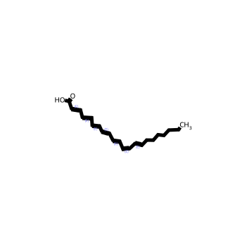 CCCCCCC/C=C/C=C\C=C\C=C\C=C\C=C\C=C\C(=O)O